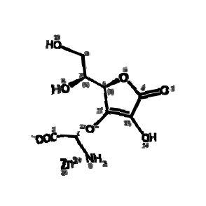 NCC(=O)[O-].O=C1O[C@H]([C@@H](O)CO)C([O-])=C1O.[Zn+2]